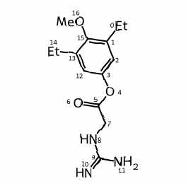 CCc1cc(OC(=O)CNC(=N)N)cc(CC)c1OC